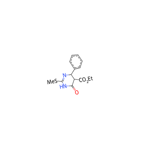 CCOC(=O)C1C(=O)NC(SC)=NC1c1ccccc1